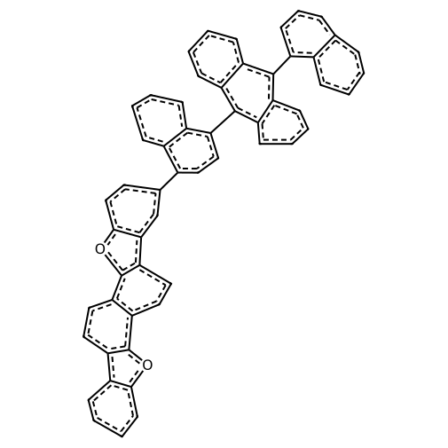 c1ccc2c(-c3c4ccccc4c(-c4ccc(-c5ccc6oc7c(ccc8c7ccc7c9ccccc9oc78)c6c5)c5ccccc45)c4ccccc34)cccc2c1